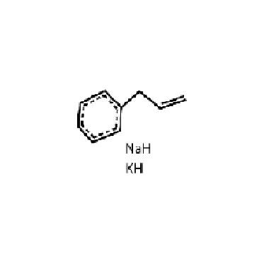 C=CCc1ccccc1.[KH].[NaH]